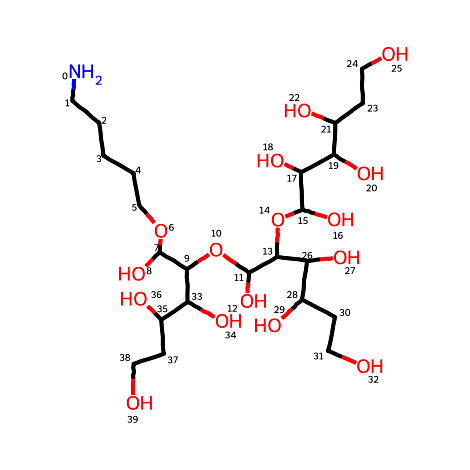 NCCCCCOC(O)C(OC(O)C(OC(O)C(O)C(O)C(O)CCO)C(O)C(O)CCO)C(O)C(O)CCO